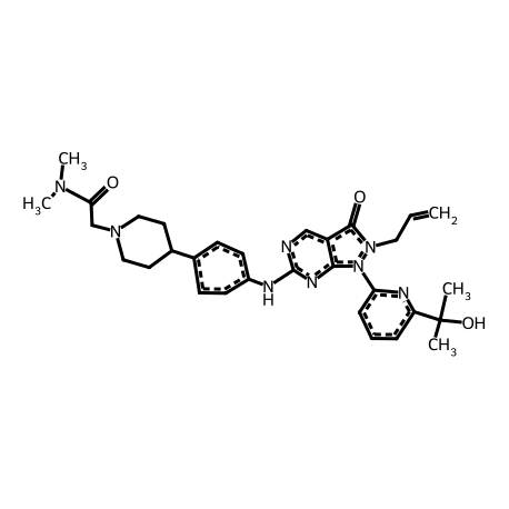 C=CCn1c(=O)c2cnc(Nc3ccc(C4CCN(CC(=O)N(C)C)CC4)cc3)nc2n1-c1cccc(C(C)(C)O)n1